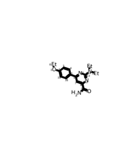 CCOc1ccc(-c2cc(C(N)=O)nc(N(CC)CC)n2)cc1